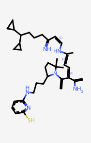 C=C(N)/C(=C/C=C(\C)N/C=C\C(=N)CCCC(C1CC1)C1CC1)C(=C)N1C(CCCNc2cccc(S)n2)CCC1(C)C